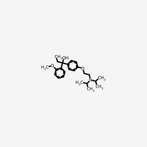 CCC(O)(c1ccc(OCCN(C(C)C)C(C)C)cc1)c1ccccc1OC